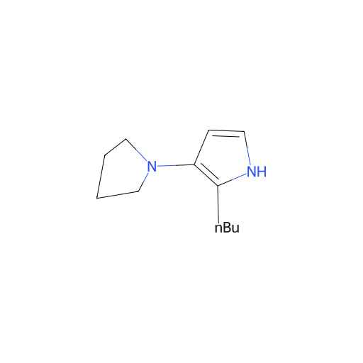 CCCCc1[nH]ccc1N1CCCC1